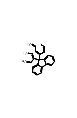 C=C/C=C(\C=C/C)C1(/C(C=C)=C/C)c2ccccc2-c2ccccc21